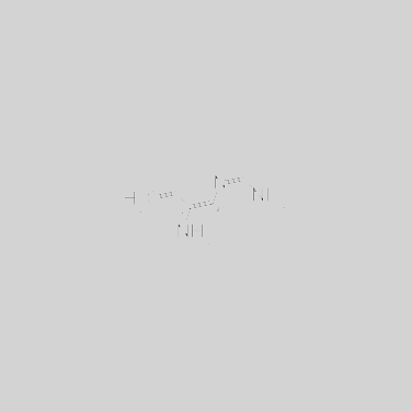 C=C/C(N)=C\N=C/N